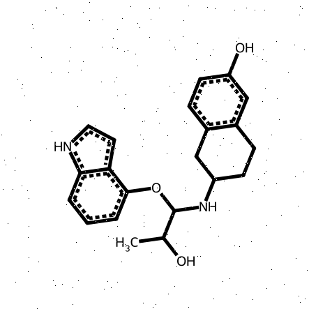 CC(O)C(NC1CCc2cc(O)ccc2C1)Oc1cccc2[nH]ccc12